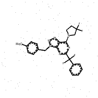 COc1ccc(Cn2nnc3c(N4CCC(F)(F)C4)nc(C(F)(F)c4ccccc4)nc32)cc1